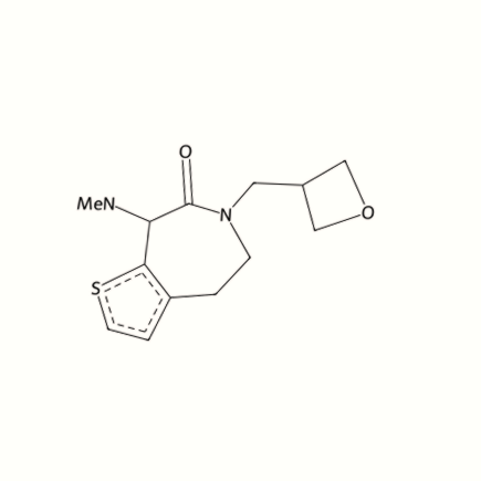 CNC1C(=O)N(CC2COC2)CCc2ccsc21